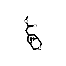 COC(=O)CC1CC2COCC(C1)N2